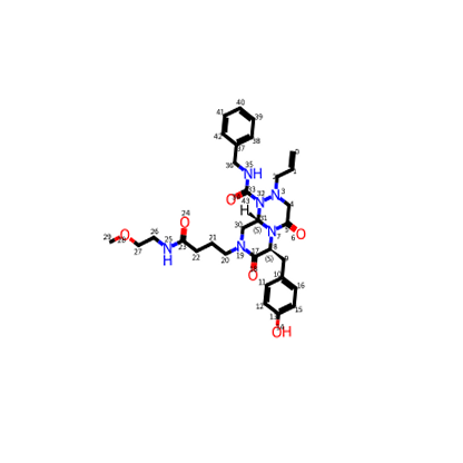 C=CCN1CC(=O)N2[C@@H](Cc3ccc(O)cc3)C(=O)N(CCCC(=O)NCCOC)C[C@@H]2N1C(=O)NCc1ccccc1